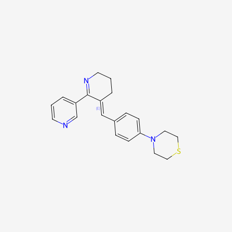 C(=C1/CCCN=C1c1cccnc1)/c1ccc(N2CCSCC2)cc1